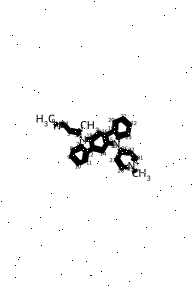 C/N=C/C=C(\C)n1c2ccccc2c2cc3c(cc21)c1ccccc1n3-c1cc[n+](C)cc1